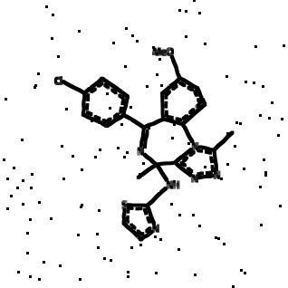 COc1ccc2c(c1)C(c1ccc(Cl)cc1)=NC(C)(Nc1nccs1)c1nnc(C)n1-2